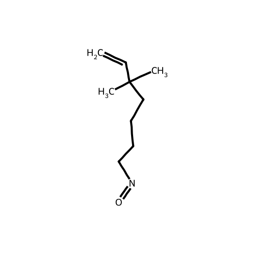 C=CC(C)(C)CCCCN=O